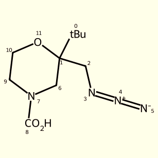 CC(C)(C)C1(CN=[N+]=[N-])CN(C(=O)O)CCO1